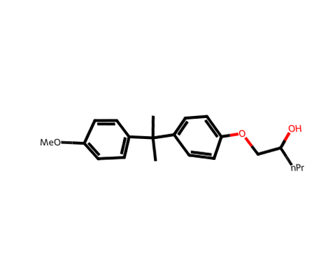 CCCC(O)COc1ccc(C(C)(C)c2ccc(OC)cc2)cc1